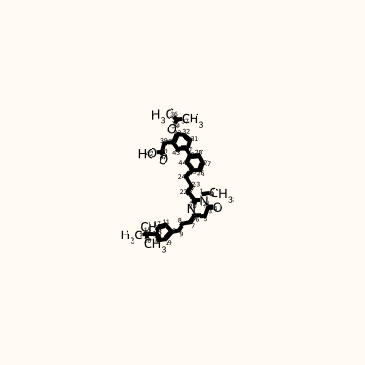 CCN1C(=O)CC(CCCc2ccc(C(C)(C)C)cc2)N=C1CCCc1cccc(-c2ccc(OC(C)C)c(CC(=O)O)c2)c1